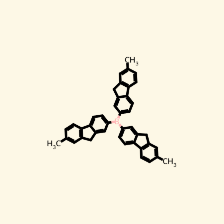 Cc1ccc2c(c1)Cc1cc(B(c3ccc4c(c3)Cc3cc(C)ccc3-4)c3ccc4c(c3)Cc3cc(C)ccc3-4)ccc1-2